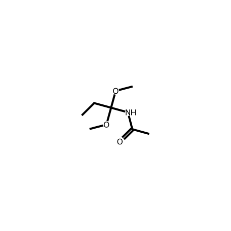 CCC(NC(C)=O)(OC)OC